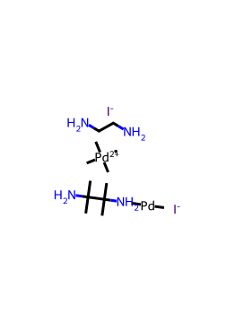 CC(C)(N)C(C)(C)N.NCCN.[CH3][Pd+2]([CH3])([CH3])[CH3].[CH3][Pd][CH3].[I-].[I-]